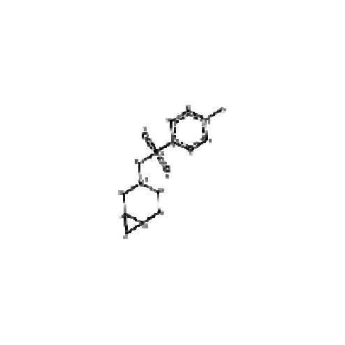 Cc1ccc(S(=O)(=O)CN2CCC3CC3C2)cc1